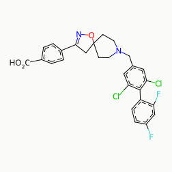 O=C(O)c1ccc(C2=NOC3(CCN(Cc4cc(Cl)c(-c5ccc(F)cc5F)c(Cl)c4)CC3)C2)cc1